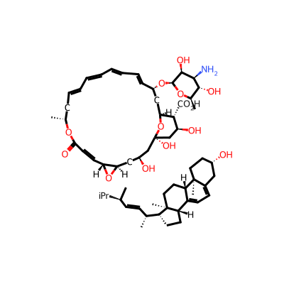 CC(C)[C@@H](C)/C=C/[C@@H](C)[C@H]1CC[C@H]2C3=CC=C4C[C@@H](O)CC[C@]4(C)[C@H]3CC[C@]12C.C[C@@H]1C/C=C/C=C/C=C/C=C/[C@H](O[C@@H]2O[C@H](C)[C@@H](O)[C@H](N)[C@@H]2O)C[C@@H]2O[C@](O)(C[C@@H](O)C[C@H]3O[C@@H]3/C=C/C(=O)O1)C[C@H](O)[C@H]2C(=O)O